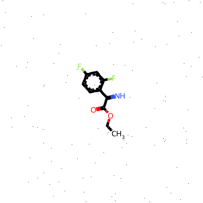 CCOC(=O)C(=N)c1ccc(F)cc1F